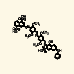 COc1cc(N=Nc2cc(OC)c(N=Nc3c(S(=O)(=O)O)cc4cc(Nc5ccccc5)ccc4c3O)cc2OC)c(OC)cc1N=Nc1cc(S(=O)(=O)O)c2cccc(S(=O)(=O)O)c2c1